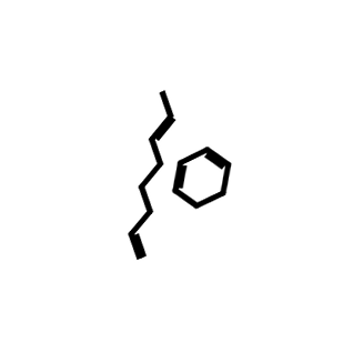 C1=CCCC=C1.C=CCCCC=CC